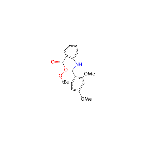 COc1ccc(CNc2ccccc2C(=O)OOC(C)(C)C)c(OC)c1